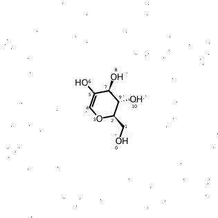 OC[C@H]1OC=C(O)[C@@H](O)[C@@H]1O